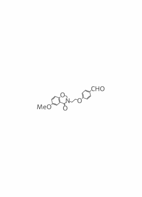 COc1ccc2c(c1)C(=O)N(CCOc1ccc(C=O)cc1)CO2